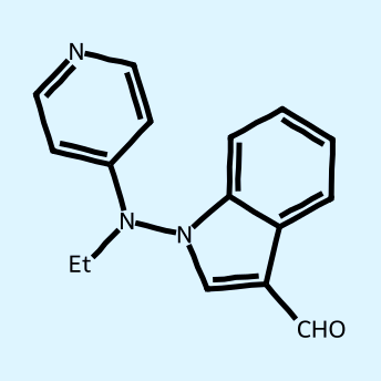 CCN(c1ccncc1)n1cc(C=O)c2ccccc21